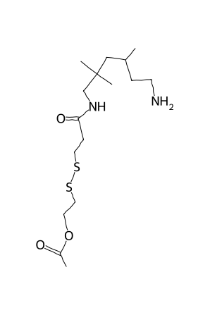 CC(=O)OCCSSCCC(=O)NCC(C)(C)CC(C)CCN